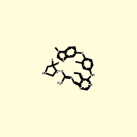 C/C=c1/c(Nc2ccc(Oc3ccc4c(c3)ncn4C)c(C)c2)ncn/c1=C/N=C(\N)O[C@@H]1CNCC1(F)F